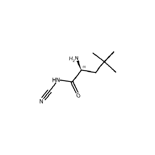 CC(C)(C)C[C@H](N)C(=O)NC#N